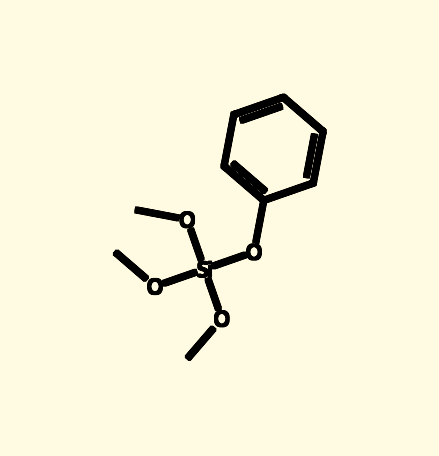 CO[Si](OC)(OC)Oc1ccccc1